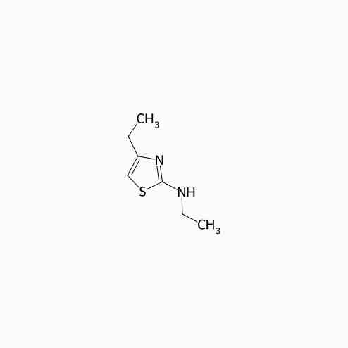 CCNc1nc(CC)cs1